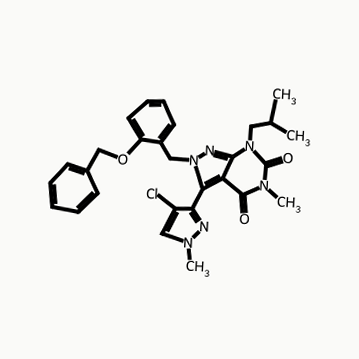 CC(C)Cn1c(=O)n(C)c(=O)c2c(-c3nn(C)cc3Cl)n(Cc3ccccc3OCc3ccccc3)nc21